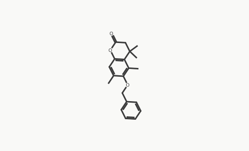 Cc1cc2c(c(C)c1OCc1ccccc1)C(C)(C)CC(=O)O2